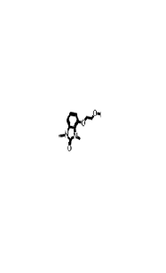 Cn1c(=O)n(C)c2c(OCCOI)cccc21